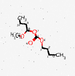 CCCCOC(=O)OC(CCC)OC